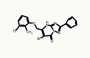 Cc1c(Cl)cccc1OCc1[nH]c2nc(-c3ccccc3)nn2c(=O)c1Br